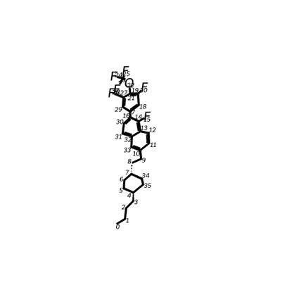 CCCC[C@H]1CC[C@H](CCc2ccc3c(F)c(-c4cc(F)c(OC(F)(F)F)c(F)c4)ccc3c2)CC1